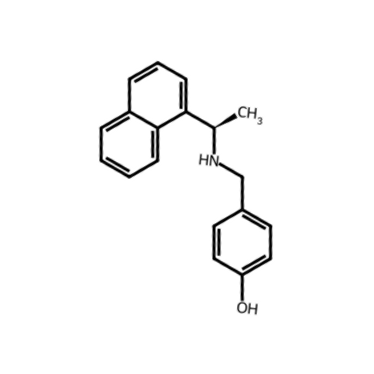 C[C@@H](NCc1ccc(O)cc1)c1cccc2ccccc12